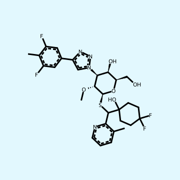 CO[C@@H]1[C@@H](n2cc(-c3cc(F)c(C)c(F)c3)nn2)[C@@H](O)[C@@H](CO)O[C@H]1SC(c1ncccc1C)C1(O)CCC(F)(F)CC1